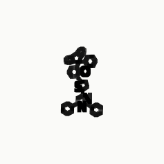 C1=C(c2cccc3c2Oc2ccccc2C32c3ccccc3-c3ccccc32)SC(c2cc(-c3ccccc3)nc(-c3ccccc3)n2)C1